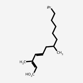 CC(C=CCC(C)CCCCCC(C)C)=CC(=O)O